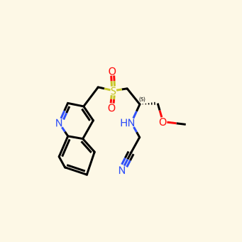 COC[C@@H](CS(=O)(=O)Cc1cnc2ccccc2c1)NCC#N